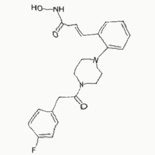 O=C(C=Cc1ccccc1N1CCN(C(=O)Cc2ccc(F)cc2)CC1)NO